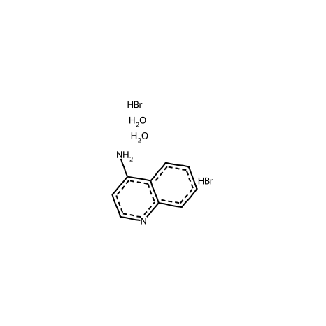 Br.Br.Nc1ccnc2ccccc12.O.O